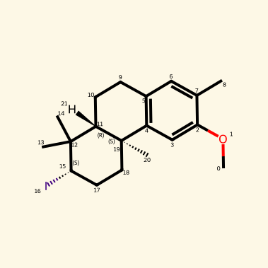 COc1cc2c(cc1C)CC[C@H]1C(C)(C)[C@@H](I)CC[C@]21C